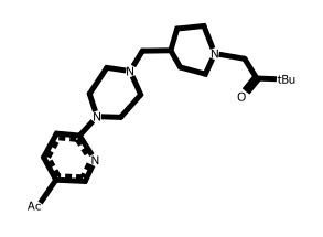 CC(=O)c1ccc(N2CCN(CC3CCN(CC(=O)C(C)(C)C)CC3)CC2)nc1